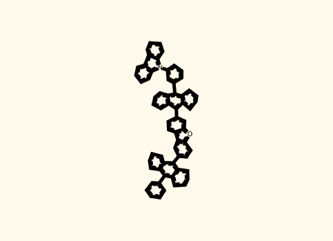 c1ccc(-c2c3ccccc3c(-c3ccc4oc5cc(-c6c7ccccc7c(-c7cccc(-n8c9ccccc9c9ccccc98)c7)c7ccccc67)ccc5c4c3)c3ccccc23)cc1